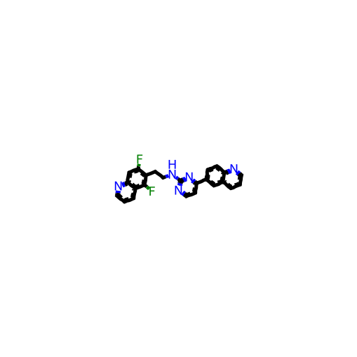 Fc1cc2ncccc2c(F)c1CCNc1nccc(-c2ccc3ncccc3c2)n1